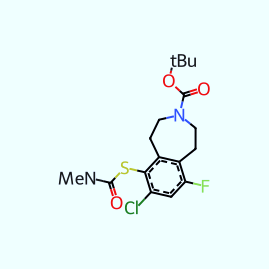 CNC(=O)Sc1c(Cl)cc(F)c2c1CCN(C(=O)OC(C)(C)C)CC2